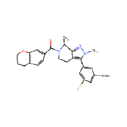 COc1cc(F)cc(-c2c3c(nn2C)[C@H](C)N(C(=O)c2ccc4c(c2)OCCC4)CC3)c1